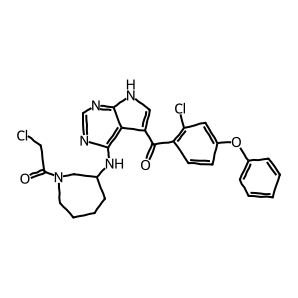 O=C(c1ccc(Oc2ccccc2)cc1Cl)c1c[nH]c2ncnc(NC3CCCCN(C(=O)CCl)C3)c12